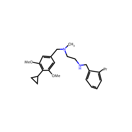 COc1cc(CN(C)CCNCc2ccccc2C(C)C)cc(OC)c1C1CC1